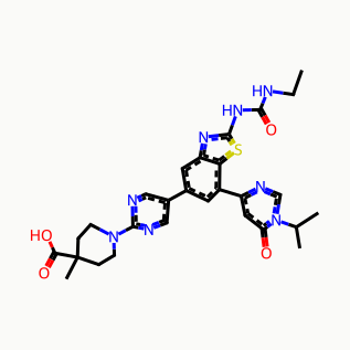 CCNC(=O)Nc1nc2cc(-c3cnc(N4CCC(C)(C(=O)O)CC4)nc3)cc(-c3cc(=O)n(C(C)C)cn3)c2s1